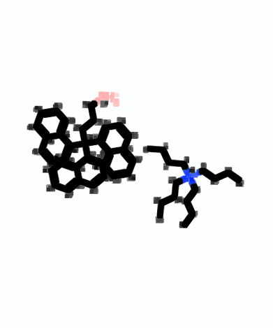 CCCC[N+](CCCC)(CCCC)CCCC.[BH3-]CCCC(c1cccc2ccccc12)(c1cccc2ccccc12)c1cccc2ccccc12